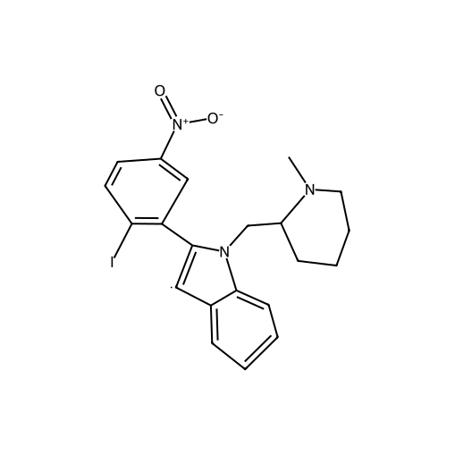 CN1CCCCC1Cn1c(-c2cc([N+](=O)[O-])ccc2I)[c]c2ccccc21